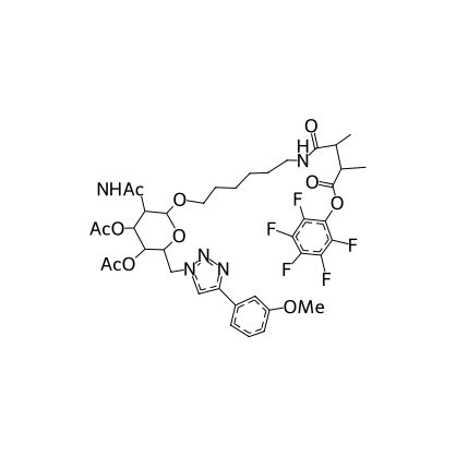 COc1cccc(-c2cn(CC3OC(OCCCCCCNC(=O)C(C)C(C)C(=O)Oc4c(F)c(F)c(F)c(F)c4F)C(NC(C)=O)C(OC(C)=O)C3OC(C)=O)nn2)c1